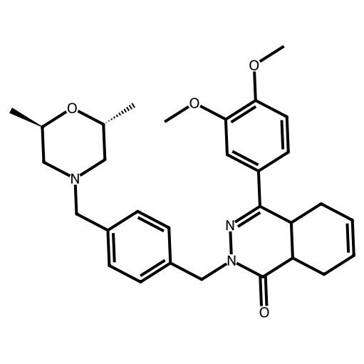 COc1ccc(C2=NN(Cc3ccc(CN4C[C@@H](C)O[C@H](C)C4)cc3)C(=O)C3CC=CCC23)cc1OC